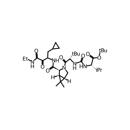 CCNC(=O)C(=O)C(CC1CC1)NC(=O)[C@@H]1[C@@H]2[C@H](CN1C(=O)[C@@H](NC(=O)N[C@H](C(=O)OC(C)(C)C)C(C)C)C(C)(C)C)C2(C)C